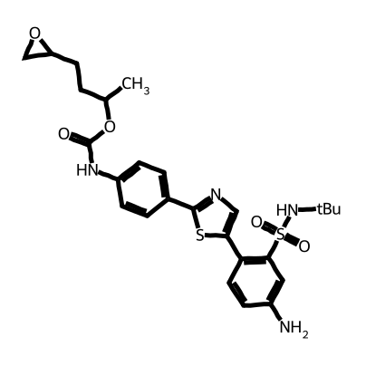 CC(CCC1CO1)OC(=O)Nc1ccc(-c2ncc(-c3ccc(N)cc3S(=O)(=O)NC(C)(C)C)s2)cc1